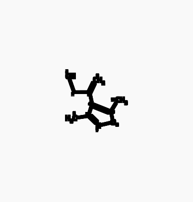 C=C(CO)c1c(C)noc1C